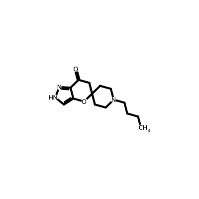 CCCCN1CCC2(CC1)CC(=O)c1n[nH]cc1O2